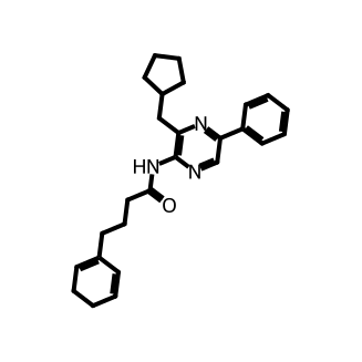 O=C(CCCC1=CCCC=C1)Nc1ncc(-c2ccccc2)nc1CC1CCCC1